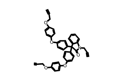 C#CCOc1ccc(Oc2ccc(C3(c4ccc(Oc5ccc(OCC#C)cc5)cc4)C(=O)N(CC#C)c4ccccc43)cc2)cc1